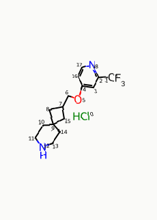 Cl.FC(F)(F)c1cc(OCC2CC3(CCNCC3)C2)ccn1